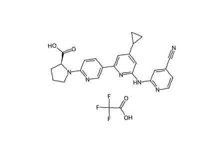 N#Cc1ccnc(Nc2cc(C3CC3)cc(-c3ccc(N4CCC[C@H]4C(=O)O)nc3)n2)c1.O=C(O)C(F)(F)F